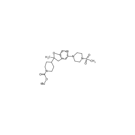 CC(C)(C)OC(=O)N1CCC(C2(C)Cc3cc(N4CCN(S(C)(=O)=O)CC4)ncc3O2)CC1